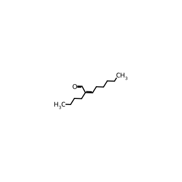 CCCCCC=C(C=O)CCCC